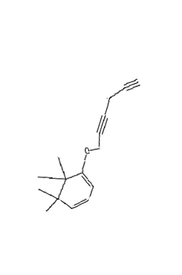 C#C[CH]C#CCOC1=CC=CC(C)(C)C1(C)C